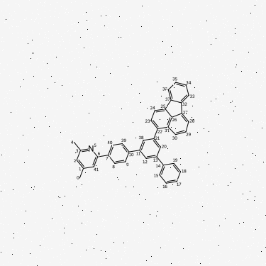 Cc1cc(C)nc(-c2ccc(-c3cc(-c4ccccc4)cc(-c4ccc5c6c(cccc46)-c4ccccc4-5)c3)cc2)c1